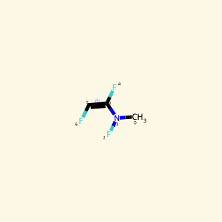 CN(F)/C(F)=C\F